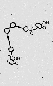 O=C(NCc1cc(=O)c(O)co1)c1ccc(C#Cc2cccc(-c3cccc(C#CC#Cc4ccc(NCc5occc(=O)c5O)cc4)c3)c2)cc1